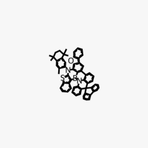 Cc1cc2c(cc1N1c3sc4ccccc4c3B3c4c(cc5c(oc6ccccc65)c41)-c1cccc4c1N3c1ccccc1C41c3ccccc3-c3ccccc31)C(C)(C)CCC2(C)C